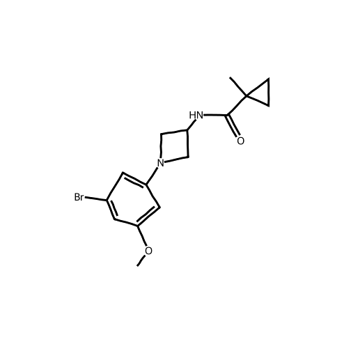 COc1cc(Br)cc(N2CC(NC(=O)C3(C)CC3)C2)c1